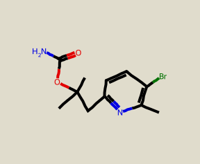 Cc1nc(CC(C)(C)OC(N)=O)ccc1Br